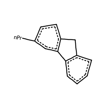 CCCc1ccc2c(c1)-c1ccccc1C2